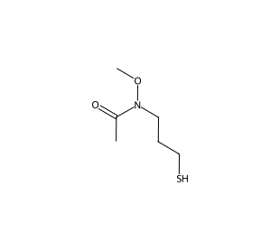 CON(CCCS)C(C)=O